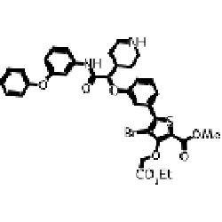 CCOC(=O)COc1c(C(=O)OC)sc(-c2cccc(OC(C(=O)Nc3cccc(Oc4ccccc4)c3)C3CCNCC3)c2)c1Br